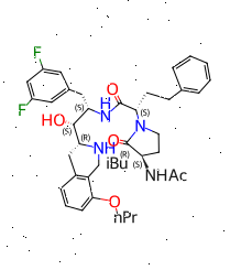 CCCOc1cccc2c1CN[C@@H]([C@H](O)[C@H](Cc1cc(F)cc(F)c1)NC(=O)[C@H](CCc1ccccc1)N1CC[C@](NC(C)=O)([C@H](C)CC)C1=O)C2